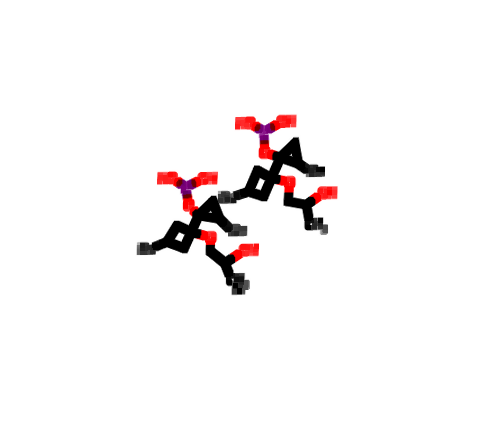 CCC(C)C1CC(OCC(C)O)(C2(OP(O)O)CC2C(C)CC)C1.CCC(C)C1CC(OCC(C)O)(C2(OP(O)O)CC2C(C)CC)C1.[Ni]